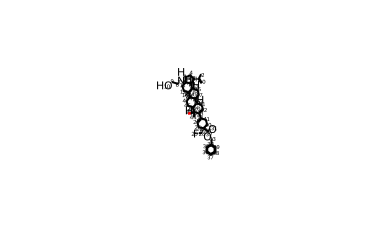 C=C(C)[C@@H]1CC[C@]2(NCCO)CC[C@]3(C)[C@H](CC[C@@H]4[C@@]5(C)CC=C(C6=CC[C@@](CF)(C(=O)OCc7ccccc7)CC6)C(C)(C)[C@@H]5CC[C@]43C)[C@@H]12